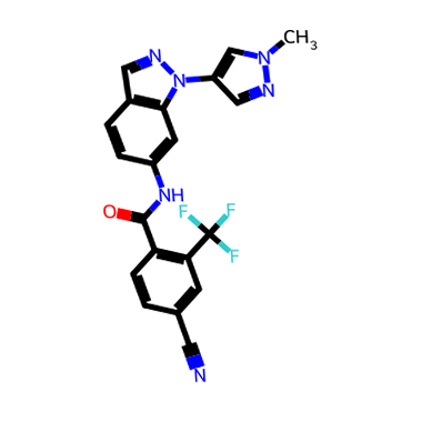 Cn1cc(-n2ncc3ccc(NC(=O)c4ccc(C#N)cc4C(F)(F)F)cc32)cn1